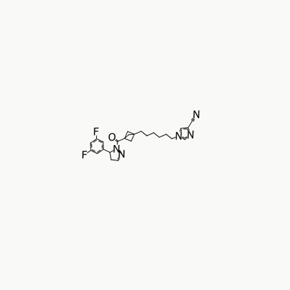 N#Cc1cn(CCCCCCC23CC(C(=O)N4N=CCC4c4cc(F)cc(F)c4)(C2)C3)cn1